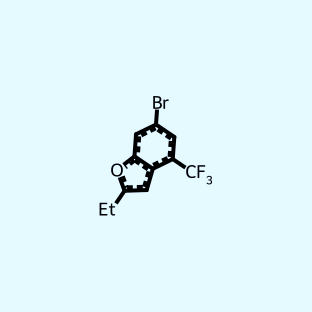 CCc1cc2c(C(F)(F)F)cc(Br)cc2o1